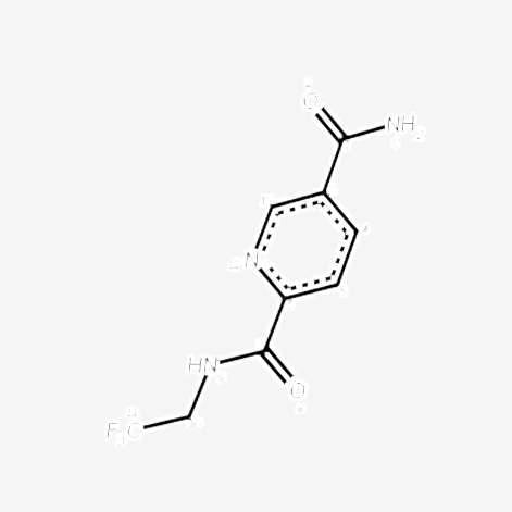 NC(=O)c1ccc(C(=O)NCC(F)(F)F)nc1